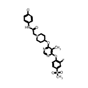 Cc1c(Oc2ccc(S(C)(=O)=O)cc2F)ncnc1OC1CCN(CC(=O)Nc2ccc(Cl)cc2)CC1